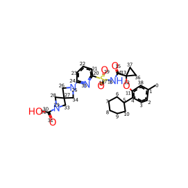 Cc1ccc(C2CCCCC2)c(OC2(C(=O)NS(=O)(=O)c3cccc(N4CC5(CN(C(=O)O)C5)C4)n3)CC2)c1